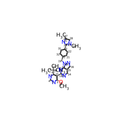 COc1ncnc(C(C)(C)C)c1-c1ncc2cnn(Cc3ccc(-c4nc(C)cn4C)cc3)c2n1